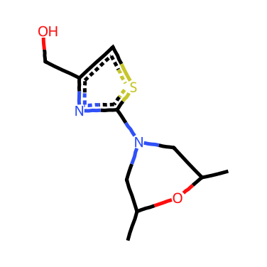 CC1CN(c2nc(CO)cs2)CC(C)O1